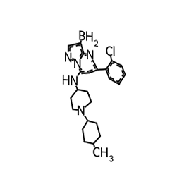 Bc1cnn2c(NC3CCN(C4CCC(C)CC4)CC3)cc(-c3ccccc3Cl)nc12